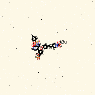 Cc1ccc(S(=O)(=O)n2ccc3c(-c4cc(CS(C)(=O)=O)ccc4Oc4ccc(CCC5CCN(C(=O)OC(C)(C)C)CC5)cc4)cn(C)c(=O)c32)cc1